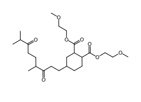 COCCOC(=O)C1CCC(CCC(=O)C(C)CCC(=O)C(C)C)CC1C(=O)OCCOC